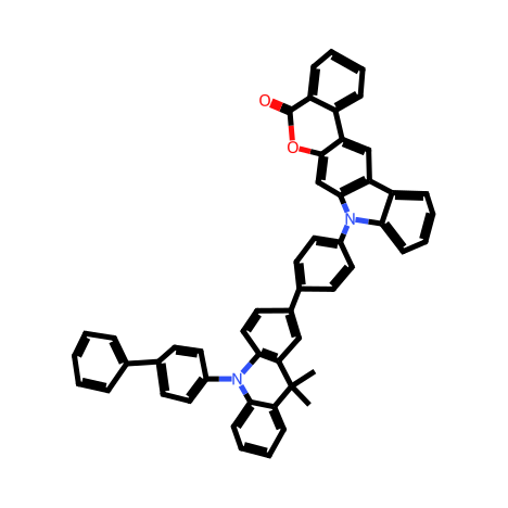 CC1(C)c2ccccc2N(c2ccc(-c3ccccc3)cc2)c2ccc(-c3ccc(-n4c5ccccc5c5cc6c(cc54)oc(=O)c4ccccc46)cc3)cc21